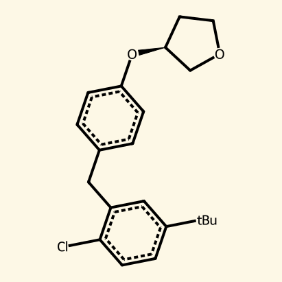 CC(C)(C)c1ccc(Cl)c(Cc2ccc(O[C@H]3CCOC3)cc2)c1